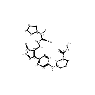 CC(C)OC(=O)[C@H]1CCC[C@H](Oc2ccc(-c3cnn(C)c3COC(=O)N(C)C3CCCC3)nc2)C1